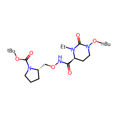 CCCCON1CC[C@@H](C(=O)NOC[C@@H]2CCCN2C(=O)OC(C)(C)C)N(CC)C1=O